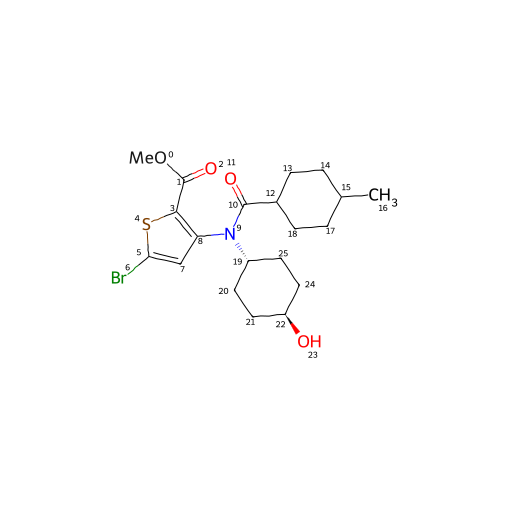 COC(=O)c1sc(Br)cc1N(C(=O)C1CCC(C)CC1)[C@H]1CC[C@H](O)CC1